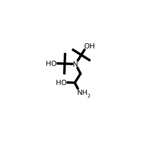 CC(C)(O)N(CC(N)O)C(C)(C)O